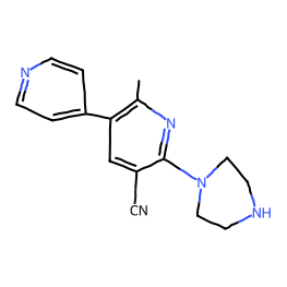 Cc1nc(N2CCNCC2)c(C#N)cc1-c1ccncc1